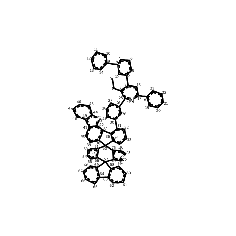 CCc1c(-c2cccc(-c3ccccc3)c2)cc(-c2ccccc2)nc1-c1cccc(-c2cccc3c2-c2c(ccc4c2sc2ccccc24)C32c3ccccc3C3(c4ccccc4-c4ccccc43)c3ccccc32)c1